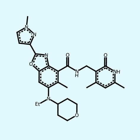 CCN(c1cc2oc(-c3ccn(C)n3)nc2c(C(=O)NCc2c(C)cc(C)[nH]c2=O)c1C)C1CCOCC1